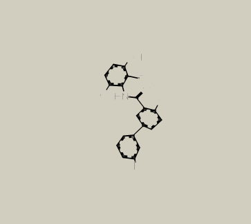 Cc1ccc(O)c(F)c1NC(=O)c1cc(-c2cccc(F)c2)ccc1F